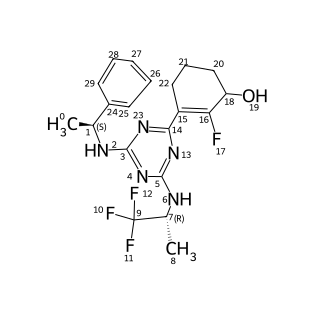 C[C@H](Nc1nc(N[C@H](C)C(F)(F)F)nc(C2=C(F)C(O)CCC2)n1)c1ccccc1